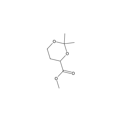 COC(=O)C1CCOC(C)(C)O1